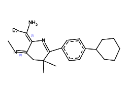 CC/C(N)=C1/N=C(c2ccc(C3CCCCC3)cc2)C(C)(C)C/C1=N/C